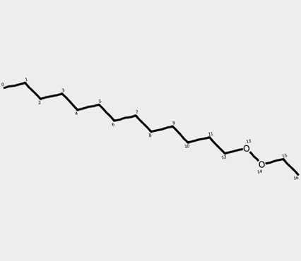 CCCCCCCCCCCCCOOCC